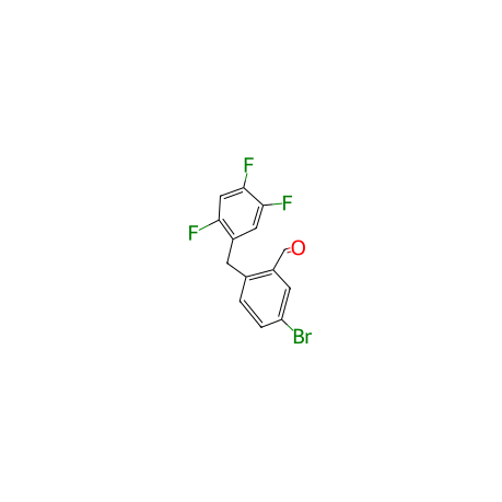 O=Cc1cc(Br)ccc1Cc1cc(F)c(F)cc1F